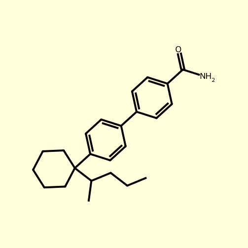 CCCC(C)C1(c2ccc(-c3ccc(C(N)=O)cc3)cc2)CCCCC1